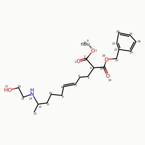 CCCCOC(=O)C(CCC=CCCCC(C)NCCO)C(=O)OCc1ccccc1